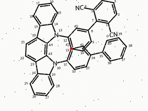 N#Cc1cccc(C#N)c1-c1cccc(-n2c3ccccc3c3ccc4c5ccccc5n(-c5ccc(-c6ccccc6)cc5)c4c32)c1